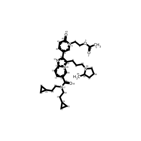 CC(=O)OCCn1cc(-c2nc3ccc(C(=O)N(CCC4CC4)CCC4CC4)cn3c2CCCN2CCCC2C)ccc1=O